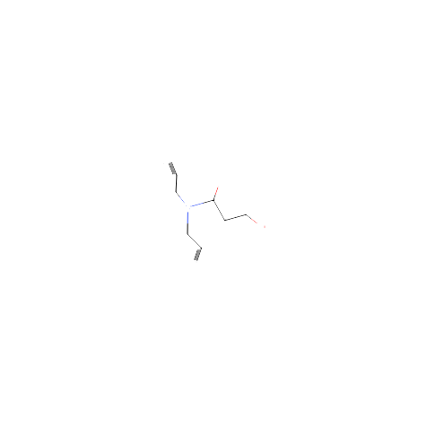 C=CCN(CC=C)C(O)CCO